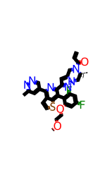 C=CC(=O)N1Cc2cc(-c3nc(-c4cnnc(C)c4)c4ccsc4c3-c3c(F)cc(F)cc3OCCOC)nn2C[C@H]1C